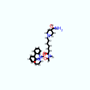 CC(OC(=O)N(c1ccccc1-c1ccccc1)N1CC[CH]CC1)N(C)C(=O)CCCCCCN1CCC(C(N)=O)CC1